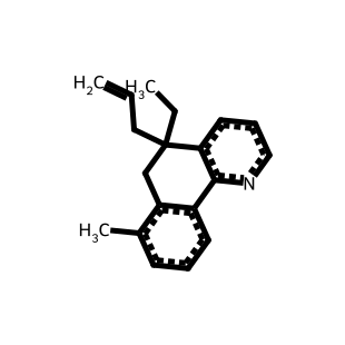 C=CCC1(CC)Cc2c(C)cccc2-c2ncccc21